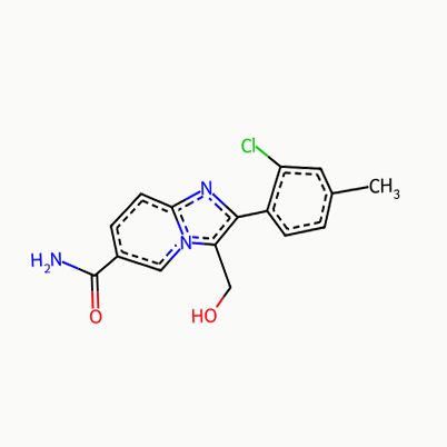 Cc1ccc(-c2nc3ccc(C(N)=O)cn3c2CO)c(Cl)c1